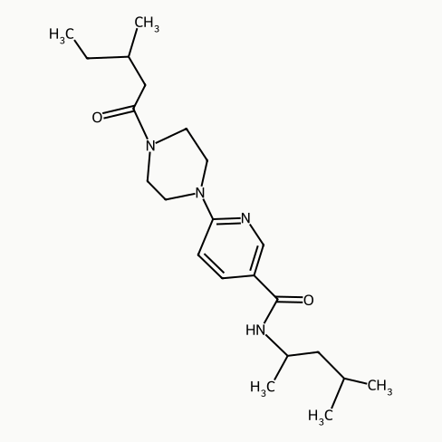 CCC(C)CC(=O)N1CCN(c2ccc(C(=O)NC(C)CC(C)C)cn2)CC1